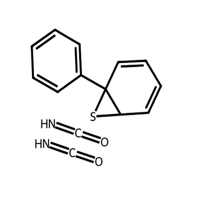 C1=CC2SC2(c2ccccc2)C=C1.N=C=O.N=C=O